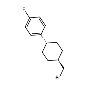 CC(C)C[C@H]1CC[C@H](c2ccc(F)cc2)CC1